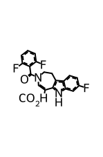 O=C(O)C1=CN(C(=O)c2c(F)cccc2F)CCc2c1[nH]c1cc(F)ccc21